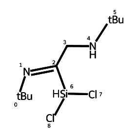 CC(C)(C)N=C(CNC(C)(C)C)[SiH](Cl)Cl